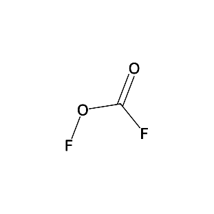 O=C(F)OF